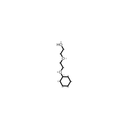 OCCOCCOC1CCCCC1